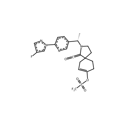 C[C@@H](c1ccc(-n2cc(F)cn2)nc1)N1CCC2(CC=C(OS(=O)(=O)C(F)(F)F)CC2)C1=C=O